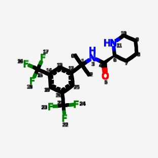 CC(C)(NC(=O)[C@@H]1CCCCN1)c1cc(C(F)(F)F)cc(C(F)(F)F)c1